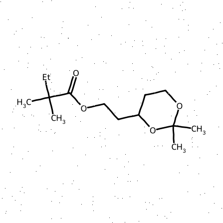 CCC(C)(C)C(=O)OCCC1CCOC(C)(C)O1